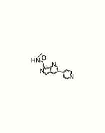 c1cc(-c2cnc3c(cnn3C3NCCO3)c2)ccn1